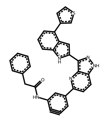 O=C(Cc1ccccc1)Nc1c#ccc(-c2ccc3[nH]nc(-c4cc5c(-c6ccsc6)cccc5[nH]4)c3n2)c1